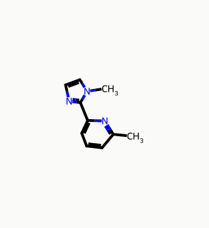 Cc1cccc(-c2nccn2C)n1